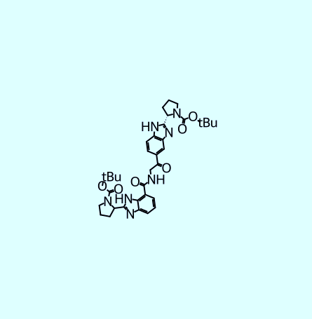 CC(C)(C)OC(=O)N1CCCC1c1nc2cccc(C(=O)NCC(=O)c3ccc4[nH]c([C@@H]5CCCN5C(=O)OC(C)(C)C)nc4c3)c2[nH]1